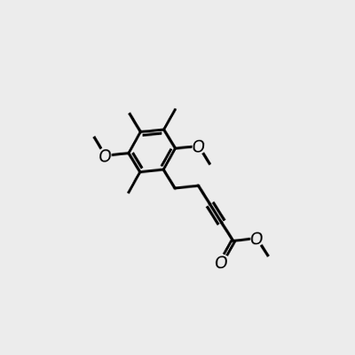 COC(=O)C#CCCc1c(C)c(OC)c(C)c(C)c1OC